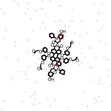 O=C(C(Cc1ccc(O)cc1)N1C(=O)c2cc(Oc3cccc(OCC4CO4)c3)c3c4c(Oc5cccc(OCC6CO6)c5)cc5c6c(cc(Oc7cccc(OCC8CO8)c7)c(c7c(Oc8cccc(OCC9CO9)c8)cc(c2c37)C1=O)c64)C(=O)N(C(Cc1ccc(O)cc1)C(=O)N(c1ccccc1)c1ccccc1)C5=O)N(c1ccccc1)c1ccccc1